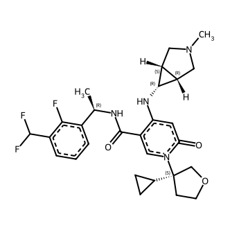 C[C@@H](NC(=O)c1cn([C@]2(C3CC3)CCOC2)c(=O)cc1N[C@@H]1[C@@H]2CN(C)C[C@@H]21)c1cccc(C(F)F)c1F